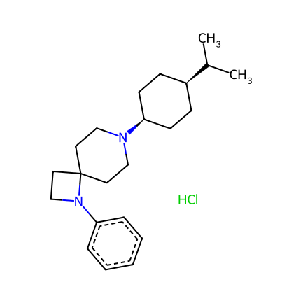 CC(C)[C@H]1CC[C@@H](N2CCC3(CCN3c3ccccc3)CC2)CC1.Cl